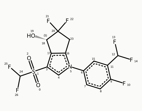 O=S(=O)(c1cn(-c2ccc(F)c(C(F)F)c2)c2c1[C@H](O)C(F)(F)C2)C(F)F